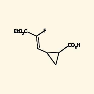 CCOC(=O)C(F)=CC1CC1C(=O)O